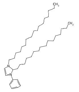 CCCCCCCCCCCCCCCCCN1C=CN(c2ccccc2)C1CCCCCCCCCCCCCCCC